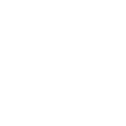 CCCCOCCOCCOP1OCC2(CO1)COP(OCCOCCOCCCC)OC2